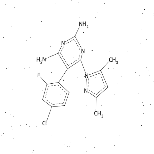 Cc1cc(C)n(-c2nc(N)nc(N)c2-c2ccc(Cl)cc2F)n1